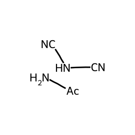 CC(N)=O.N#CNC#N